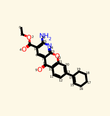 CCOC(=O)c1cc2c(=O)c3ccc(C4=CCCCC4)cc3oc2nc1N